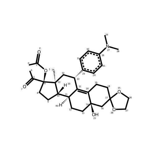 CC(=O)O[C@]1(C(C)=O)CC[C@H]2[C@@H]3CC[C@@]4(O)CC5(CCC4=C3[C@@H](c3ccc(N(C)C)cc3)C[C@@]21C)OCCO5